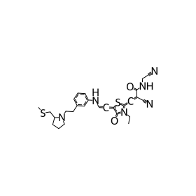 CCn1c(=C=C(C#N)C(=O)NCC#N)sc(=C=CNc2cccc(CCN3CCCC3CSC)c2)c1=O